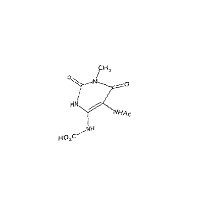 CC(=O)Nc1c(NC(=O)O)[nH]c(=O)n(C)c1=O